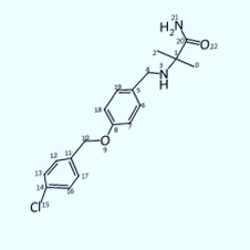 CC(C)(NCc1ccc(OCc2ccc(Cl)cc2)cc1)C(N)=O